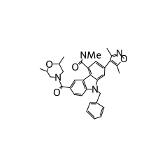 CNC(=O)c1cc(-c2c(C)noc2C)cc2c1c1cc(C(=O)N3CC(C)OC(C)C3)ccc1n2Cc1ccccc1